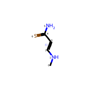 CN/C=C/C(N)=S